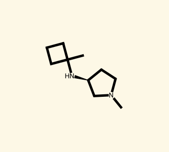 CN1CC[C@H](NC2(C)CCC2)C1